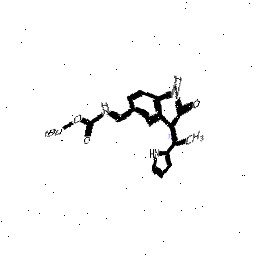 C/C(=C1\C(=O)Nc2ccc(CNC(=O)OC(C)(C)C)cc21)c1ccc[nH]1